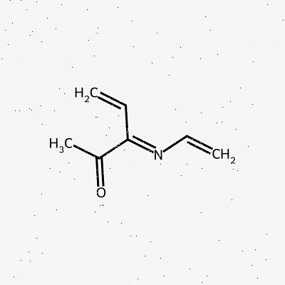 C=C/N=C(\C=C)C(C)=O